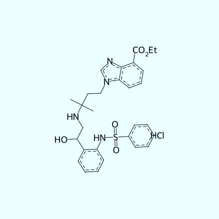 CCOC(=O)c1cccc2c1ncn2CCC(C)(C)NCC(O)c1ccccc1NS(=O)(=O)c1ccccc1.Cl